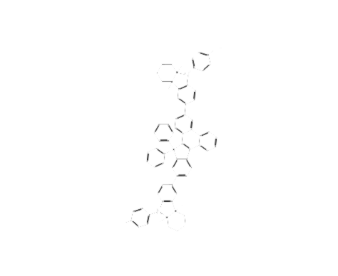 CC12CCCCC1(C)N(c1ccc(C(F)(F)F)cc1)c1ccc(-c3ccc4c(c3)C(c3ccccc3)(c3ccccc3)c3c-4c4ccccc4c4cc(-c5ccc6c(c5)C5(C)CCCCC5(C)N6c5ccc(C(F)(F)F)cc5)ccc34)cc12